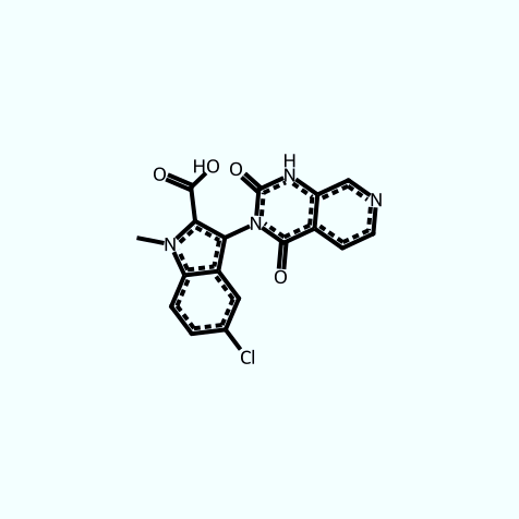 Cn1c(C(=O)O)c(-n2c(=O)[nH]c3cnccc3c2=O)c2cc(Cl)ccc21